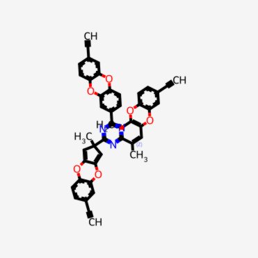 C#Cc1ccc2c(c1)OC1=CC(C)(c3nc(/C(C)=C\C4=C(C=C)Oc5ccc(C#C)cc5O4)nc(-c4ccc5c(c4)Oc4ccc(C#C)cc4O5)n3)C=C1O2